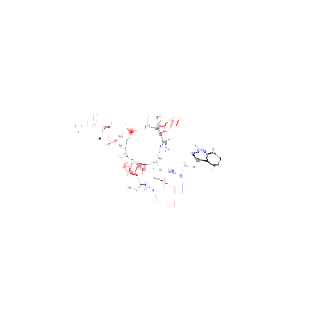 CC[C@H]1OC(=O)[C@H](C)[C@@H](O[C@H]2C[C@@](C)(OC)[C@@H](O)[C@H](C)O2)[C@H](C)[C@@H](O[C@@H]2O[C@H](C)CC(N(C)CC(O)CNCCc3c[nH]c4ccccc34)[C@H]2O)[C@](C)(O)C[C@@H](C)CN(C)[C@H](C)[C@@H](O)[C@]1(C)O